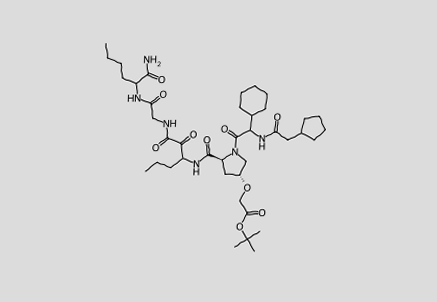 CCCCC(NC(=O)CNC(=O)C(=O)C(CCC)NC(=O)[C@@H]1C[C@@H](OCC(=O)OC(C)(C)C)CN1C(=O)C(NC(=O)CC1CCCC1)C1CCCCC1)C(N)=O